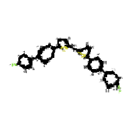 Fc1ccc(-c2ccc(-c3ccc(-c4ccc(-c5ccc(-c6ccc(F)cc6)cc5)s4)s3)cc2)cc1